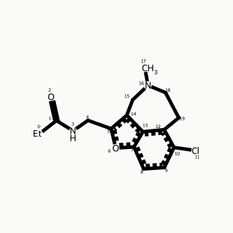 CCC(=O)NCc1oc2ccc(Cl)c3c2c1CN(C)CC3